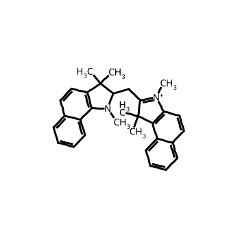 CN1c2c(ccc3ccccc23)C(C)(C)C1CC1=[N+](C)c2ccc3ccccc3c2C1(C)C